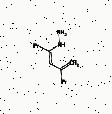 C=C(/C=C(\NN)C(C)C)C(C)C